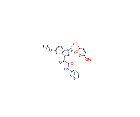 COc1ccc2c(c1)c(C(=O)C(=O)NC1CN3CCC1CC3)cn2C.O=C(O)/C=C\C(=O)O